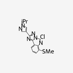 CSc1cccc2c1nc(Cl)n1nc(-c3cnn(C(C)C)c3)nc21